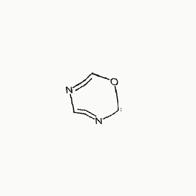 [C]1N=CN=CO1